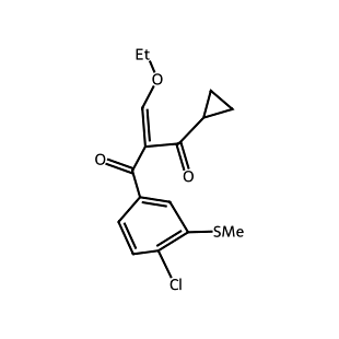 CCOC=C(C(=O)c1ccc(Cl)c(SC)c1)C(=O)C1CC1